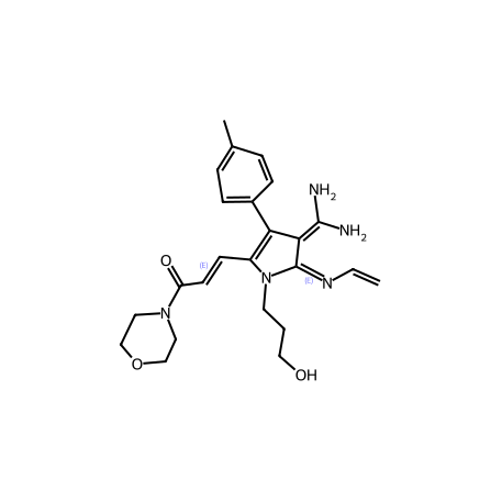 C=C/N=C1\C(=C(N)N)C(c2ccc(C)cc2)=C(/C=C/C(=O)N2CCOCC2)N1CCCO